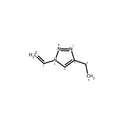 C=Cn1cc(CC)nn1